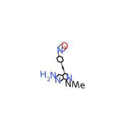 CNc1ncc(C#Cc2ccc(CN3CCOCC3)cc2)c2cc(N)ncc12